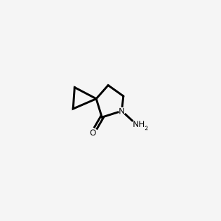 NN1CCC2(CC2)C1=O